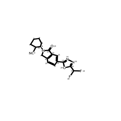 N#CC1CCCC[C@H]1N1Cc2ccc(-c3nnc(C(F)F)o3)cc2C1=O